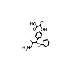 CC(CN)C(Oc1ccccc1)c1ccccc1.O=C(O)C(=O)O